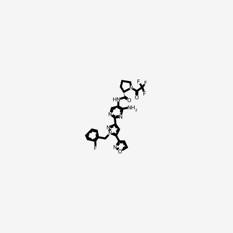 Nc1nc(-c2cc(-c3ccon3)n(Cc3ccccc3F)n2)ncc1NC(=O)[C@@H]1CCCN1C(=O)C(F)(F)F